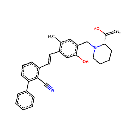 C=C(O)[C@@H]1CCCCN1Cc1cc(C)c(/C=C/c2cccc(-c3ccccc3)c2C#N)cc1O